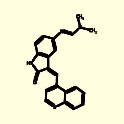 CN(C)C=Nc1ccc2c(c1)C(=Cc1ccnc3ccccc13)C(=O)N2